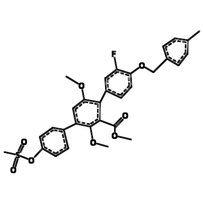 COC(=O)c1c(OC)c(-c2ccc(OS(C)(=O)=O)cc2)cc(OC)c1-c1ccc(OCc2ccc(C)cc2)c(F)c1